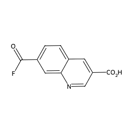 O=C(O)c1cnc2cc(C(=O)F)ccc2c1